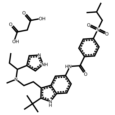 CCC(c1cn[nH]c1)N(C)CCc1c(C(C)(C)C)[nH]c2ccc(NC(=O)c3ccc(S(=O)(=O)CC(C)C)cc3)cc12.O=C(O)CC(=O)O